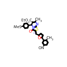 CCOC(=O)C1=C(C)N=c2s/c(=C\c3ccc(-c4cc(N=O)ccc4C)o3)c(=O)n2C1c1ccc(SC)cc1